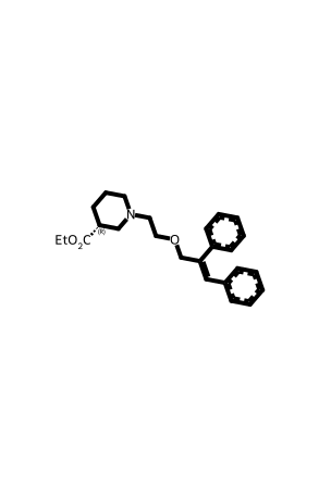 CCOC(=O)[C@@H]1CCCN(CCOCC(=Cc2ccccc2)c2ccccc2)C1